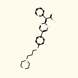 N=C(N)/C(=C1/N=CC(c2ccc(OCCCN3CCOCC3)cc2)=CN1)c1ccccn1